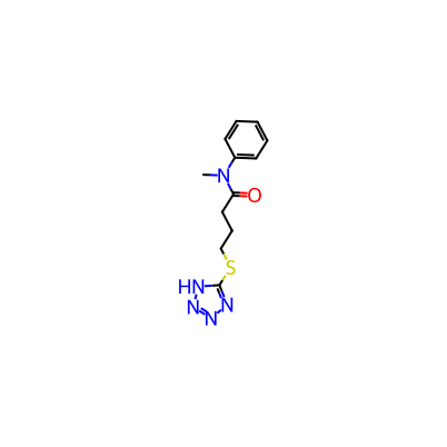 CN(C(=O)CCCSc1nnn[nH]1)c1ccccc1